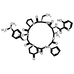 CC[C@H]1NC(=O)[C@@H](NC(=O)c2ncccc2O)[C@@H](C)OC(=O)[C@H](c2ccccc2)NC(=O)[C@@H]2CC(=O)CCN2C(=O)[C@H](Cc2ccc(N(C)C)cc2)N(C)C(=O)C2CCCN2C1=O